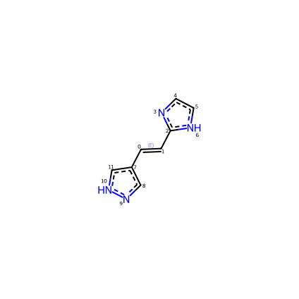 C(=C\c1ncc[nH]1)/c1cn[nH]c1